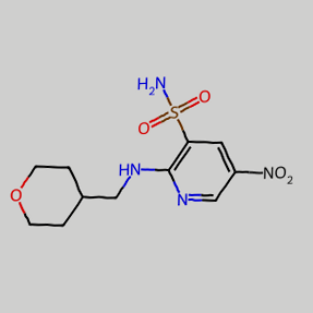 NS(=O)(=O)c1cc([N+](=O)[O-])cnc1NCC1CCOCC1